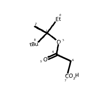 CCC(C)(OC(=O)CC(=O)O)C(C)(C)C